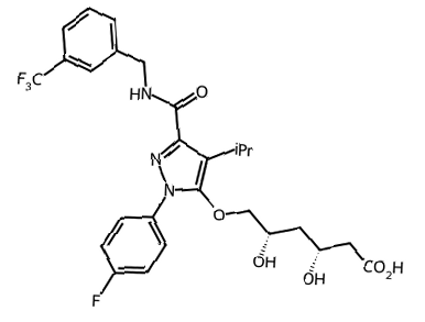 CC(C)c1c(C(=O)NCc2cccc(C(F)(F)F)c2)nn(-c2ccc(F)cc2)c1OC[C@@H](O)C[C@@H](O)CC(=O)O